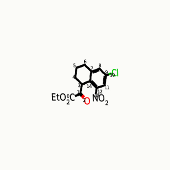 CCOC(=O)C(=O)C1CCCc2cc(Cl)cc([N+](=O)[O-])c21